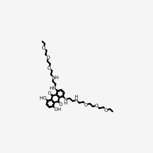 CCOCCOCCOCCNCCNc1ccc(NCCNCCOCCOCCOCC)c2c1C(=O)c1c(O)ccc(O)c1C2=O